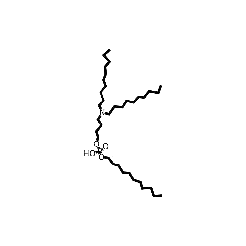 CCCCCCCCCCCOP(=O)(O)OCCCCN(CCCCCCCCCC)CCCCCCCCCC